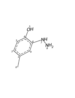 Cc1ccc(O)c(NN)c1